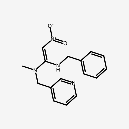 CN(Cc1cccnc1)C(=C[N+](=O)[O-])NCc1ccccc1